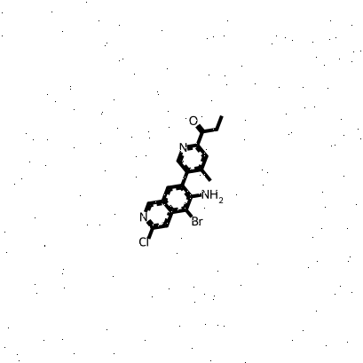 CCC(=O)c1cc(C)c(-c2cc3cnc(Cl)cc3c(Br)c2N)cn1